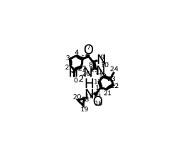 Cc1cccc(C(=O)c2ncn(-c3cc(C(=O)NC4CC4)ccc3C)c2N)c1